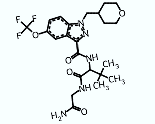 CC(C)(C)C(NC(=O)c1nn(CC2CCOCC2)c2ccc(OC(F)(F)F)cc12)C(=O)NCC(N)=O